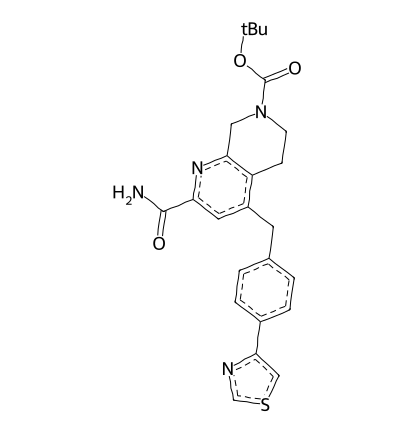 CC(C)(C)OC(=O)N1CCc2c(Cc3ccc(-c4cscn4)cc3)cc(C(N)=O)nc2C1